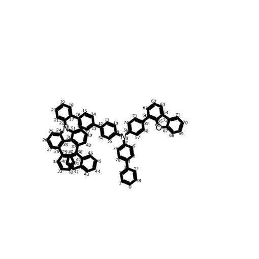 c1ccc(-c2ccc(N(c3ccc(-c4ccc(-c5ccccc5-n5c6cccc(-c7ccccc7)c6c6c(-c7cccc8ccccc78)cccc65)cc4)cc3)c3ccc(-c4cccc5c4oc4ccccc45)cc3)cc2)cc1